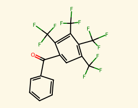 O=C(c1ccccc1)c1cc(C(F)(F)F)c(C(F)(F)F)c(C(F)(F)F)c1C(F)(F)F